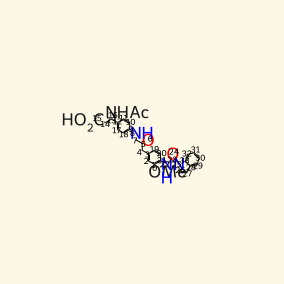 COc1cc(CC(=O)CNc2ccc(C(CC(=O)O)NC(C)=O)cc2)ccc1NC(=O)N1CCc2ccccc21